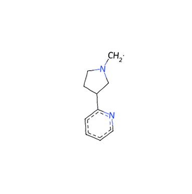 [CH2]N1CCC(c2ccccn2)C1